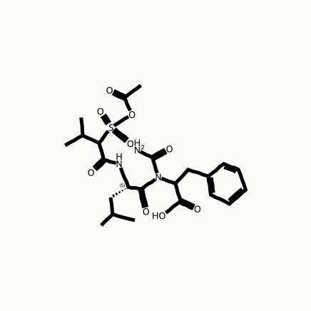 CC(=O)OS(=O)(=O)C(C(=O)N[C@@H](CC(C)C)C(=O)N(C(N)=O)C(Cc1ccccc1)C(=O)O)C(C)C